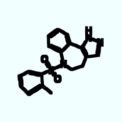 Cc1ccccc1S(=O)(=O)N1CCc2cn[nH]c2-c2ccccc21